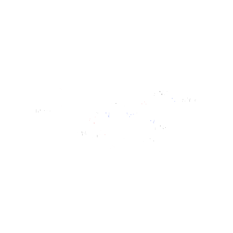 CCCCCCCCCN(CCCCCCCCC)CCN(CCCCCCCCC)CC(=O)N1CCN(C(=O)CCCC(=O)OCCCCCCC)CC1.CCCCCCCOC(=O)CCCC(=O)O